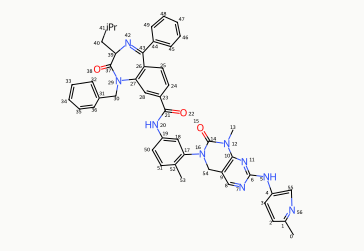 Cc1ccc(Nc2ncc3c(n2)N(C)C(=O)N(c2cc(NC(=O)c4ccc5c(c4)N(Cc4ccccc4)C(=O)C(CC(C)C)N=C5c4ccccc4)ccc2C)C3)cn1